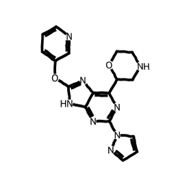 c1cncc(Oc2nc3c(C4CNCCO4)nc(-n4cccn4)nc3[nH]2)c1